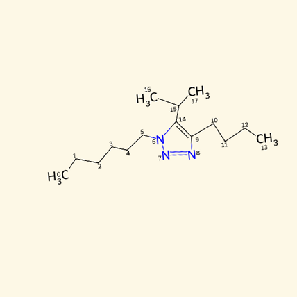 CCCCCCn1nnc(CCCC)c1C(C)C